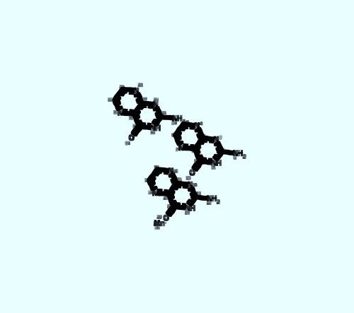 Nc1nc2nccnc2c(=O)[nH]1.Nc1nc2nccnc2c(=O)[nH]1.Nc1nc2nccnc2c(=O)[nH]1.[Mn]